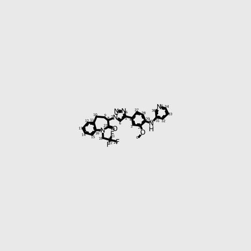 COc1cc(-c2cn(C3CCc4ccccc4N(CC(F)(F)F)C3=O)nn2)ccc1Nc1cccnc1